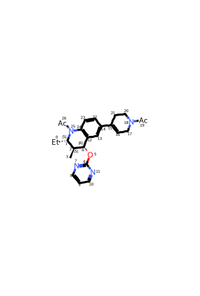 CC[C@H]1[C@H](C)[C@@H](Oc2ncccn2)c2cc(C3=CCN(C(C)=O)CC3)ccc2N1C(C)=O